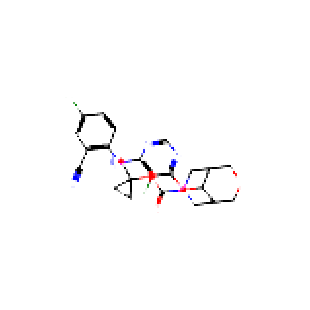 CC1(OC(=O)N2CC3COCC(C2)C3Oc2ncnc(Nc3ccc(Cl)cc3C#N)c2F)CC1